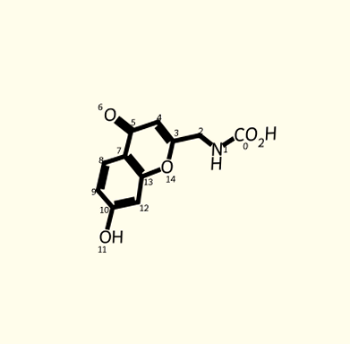 O=C(O)NCc1cc(=O)c2ccc(O)cc2o1